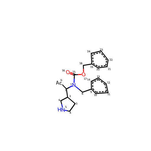 CC(=O)C(C1CCNC1)N(Cc1ccccc1)C(=O)OCc1ccccc1